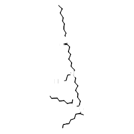 CCCCCCCCCOC(=O)CCCCCCCN(CCO)CCCCCCCC(OC(C)CCCCCC)OC(C)CCCCCC